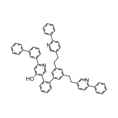 Oc1cc(-c2cccc(-c3ccccc3)c2)ncc1-c1ccccc1-c1cc(CCc2ccc(-c3ccccc3)nc2)cc(CCc2ccc(-c3ccccc3)nc2)c1